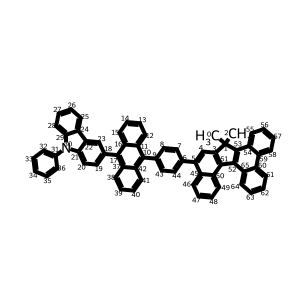 CC1(C)c2cc(-c3ccc(-c4c5ccccc5c(-c5ccc6c(c5)c5ccccc5n6-c5ccccc5)c5ccccc45)cc3)c3ccccc3c2-c2c1c1ccccc1c1ccccc21